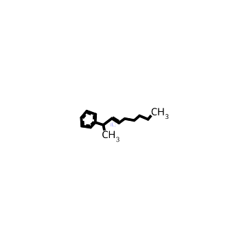 CCCCC/C=C/C(C)c1ccccc1